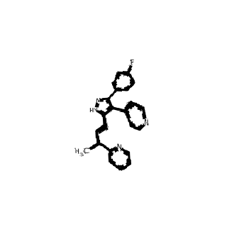 CC(C=Cc1[nH]nc(-c2ccc(F)cc2)c1-c1ccncc1)c1ccccn1